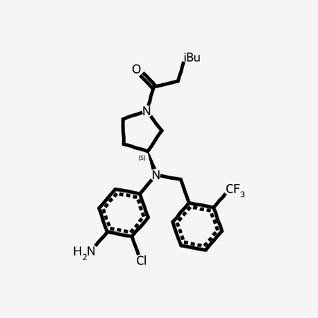 CCC(C)CC(=O)N1CC[C@H](N(Cc2ccccc2C(F)(F)F)c2ccc(N)c(Cl)c2)C1